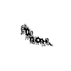 CCOC(=O)c1cc2ccc(Oc3ccc(NC(=O)c4ccc(C(F)(F)F)cc4)cn3)cc2n1C